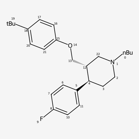 CCCCN1CC[C@@H](c2ccc(F)cc2)[C@H](COc2ccc(C(C)(C)C)cc2)C1